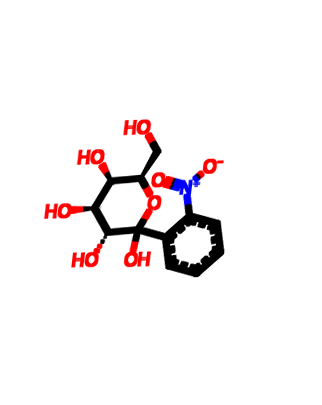 O=[N+]([O-])c1ccccc1C1(O)O[C@H](CO)[C@H](O)[C@H](O)[C@H]1O